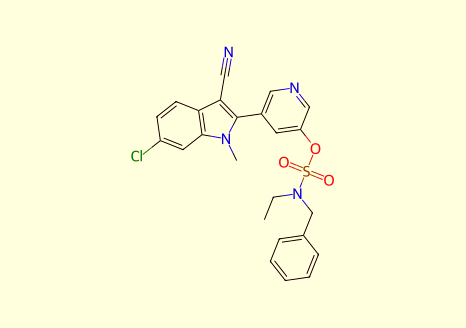 CCN(Cc1ccccc1)S(=O)(=O)Oc1cncc(-c2c(C#N)c3ccc(Cl)cc3n2C)c1